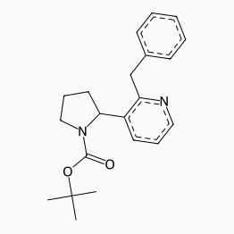 CC(C)(C)OC(=O)N1CCCC1c1cccnc1Cc1ccccc1